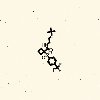 CC(C)(C)SCCNC(=O)C1(S(=O)(=O)c2ccc(C(F)(F)F)cc2)CCC1